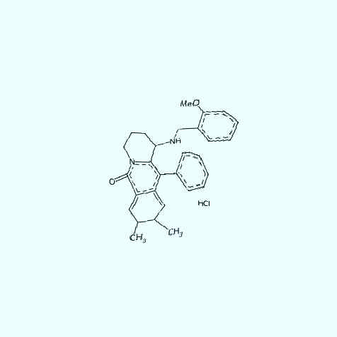 COc1ccccc1CNC1CCCn2c1c(-c1ccccc1)c1c(c2=O)=CC(C)C(C)C=1.Cl